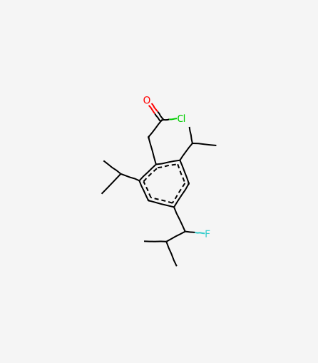 CC(C)c1cc(C(F)C(C)C)cc(C(C)C)c1CC(=O)Cl